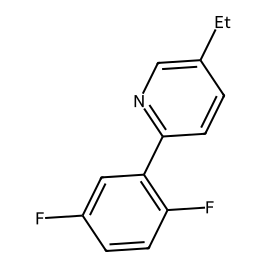 CCc1ccc(-c2cc(F)ccc2F)nc1